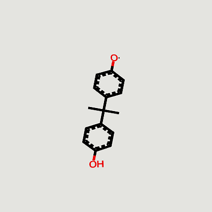 CC(C)(c1ccc([O])cc1)c1ccc(O)cc1